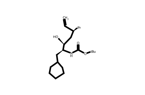 C=C[C@H](C[C@H](O)[C@H](CC1CCCCC1)NC(=O)OC(C)(C)C)C(C)C